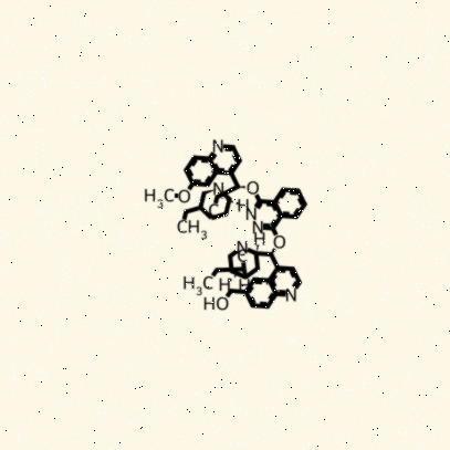 CCC1C[N@@]2CCC1C[C@@H]2[C@@H](Oc1nnc(O[C@@H](c2ccnc3ccc(CO)cc23)[C@H]2C[C@H]3CCN2C[C@@H]3CC)c2ccccc12)c1ccnc2ccc(OC)cc12